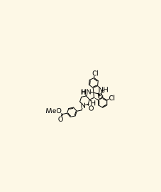 COC(=O)c1ccc(CN2CC[C@@H]3N[C@@]4(C(=O)Nc5cc(Cl)ccc54)[C@@H](c4cccc(Cl)c4F)[C@@H]3C2=O)cc1